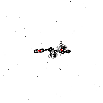 COC(=O)N[C@H](C(=O)N[C@@H](Cc1ccc(C#Cc2ccc(N3CC4CCC(C3)N4C3COC3)nc2)cc1)[C@@H](O)CN(Cc1c(F)cc(-c2ccc(C)cn2)cc1F)NC(=O)[C@@H](NC(=O)O)C(C)(C)C(F)(F)F)C(C)(C)C(F)(F)F